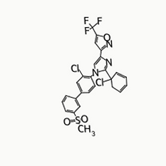 CS(=O)(=O)c1cccc(-c2ccc(-n3cc(-c4cc(C(F)(F)F)on4)nc3C3(Cl)C=CC=CC3)c(Cl)c2)c1